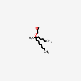 CCCCCCCC(C)(CCCCC)OCC1CO1